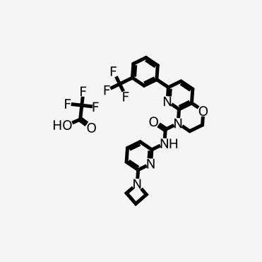 O=C(Nc1cccc(N2CCC2)n1)N1CCOc2ccc(-c3cccc(C(F)(F)F)c3)nc21.O=C(O)C(F)(F)F